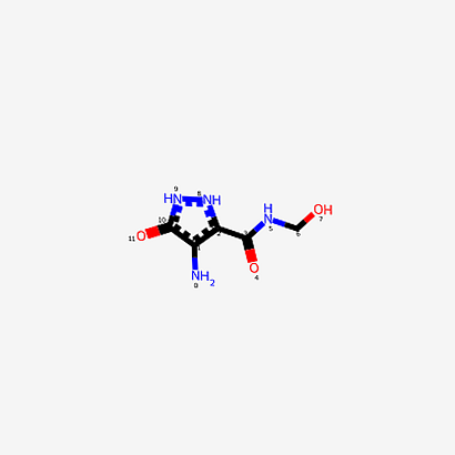 Nc1c(C(=O)NCO)[nH][nH]c1=O